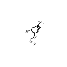 Cc1ccc(OCC(=O)O)c(C(C)C)c1